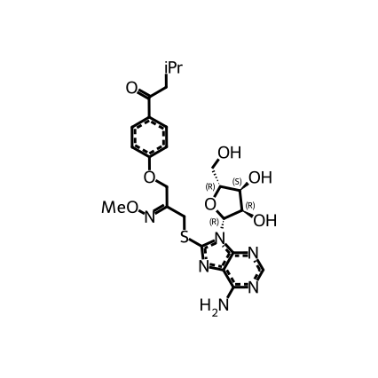 CON=C(COc1ccc(C(=O)CC(C)C)cc1)CSc1nc2c(N)ncnc2n1[C@@H]1O[C@H](CO)[C@@H](O)[C@H]1O